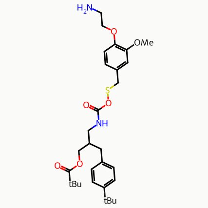 COc1cc(CSOC(=O)NCC(COC(=O)C(C)(C)C)Cc2ccc(C(C)(C)C)cc2)ccc1OCCN